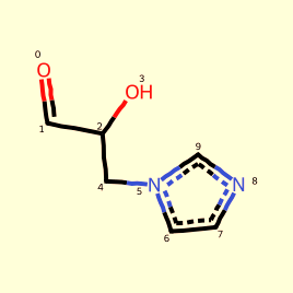 O=CC(O)Cn1ccnc1